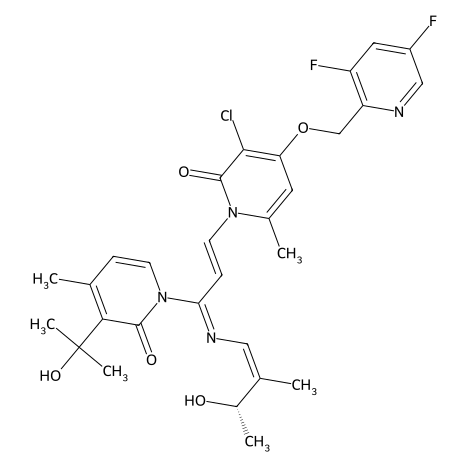 C/C(=C/N=C(\C=C\n1c(C)cc(OCc2ncc(F)cc2F)c(Cl)c1=O)n1ccc(C)c(C(C)(C)O)c1=O)[C@H](C)O